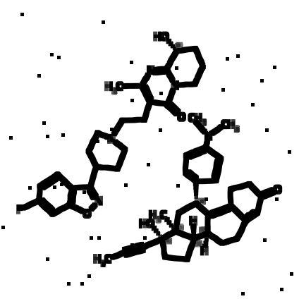 CC#C[C@]1(O)CC[C@H]2[C@@H]3CCC4=CC(=O)CCC4=C3[C@@H](c3ccc(N(C)C)cc3)C[C@@]21C.Cc1nc2n(c(=O)c1CCN1CCC(c3noc4cc(F)ccc34)CC1)CCC[C@H]2O